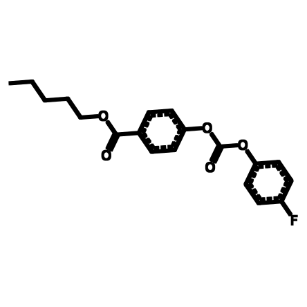 CCCCCOC(=O)c1ccc(OC(=O)Oc2ccc(F)cc2)cc1